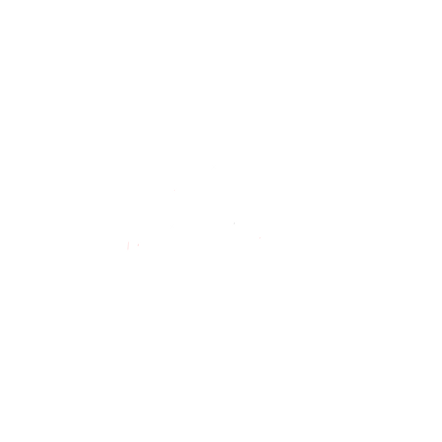 CC(C(=O)O)C(=O)C1CCCC1